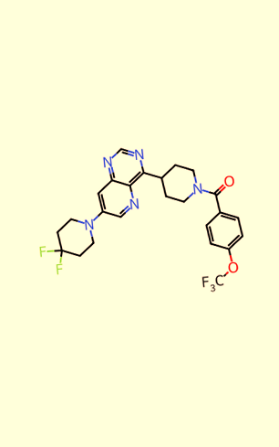 O=C(c1ccc(OC(F)(F)F)cc1)N1CCC(c2ncnc3cc(N4CCC(F)(F)CC4)cnc23)CC1